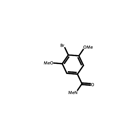 CNC(=O)c1cc(OC)c(Br)c(OC)c1